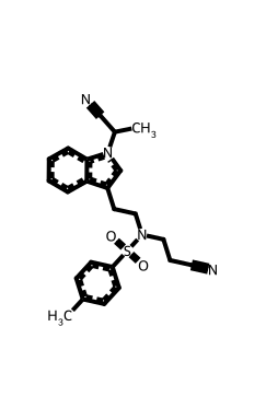 Cc1ccc(S(=O)(=O)N(CCC#N)CCc2cn(C(C)C#N)c3ccccc23)cc1